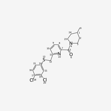 CC1CCN(C(=O)c2cccc(CSc3ccc(Cl)c(Cl)c3)n2)CC1